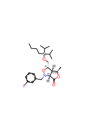 CCCC[Si](OC[C@H]1ON(Cc2cccc(I)c2)[C@H]2C(=O)O[C@H](C)[C@@H]12)(C(C)C)C(C)C